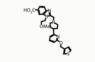 COCCn1c(CN2CCC(c3cccc(OCc4ccsc4)n3)CC2)nc2ccc(C(=O)O)cc21